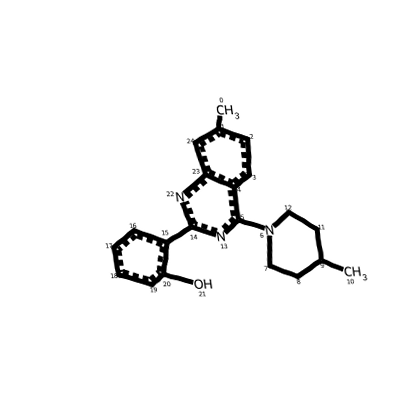 Cc1ccc2c(N3CCC(C)CC3)nc(-c3ccccc3O)nc2c1